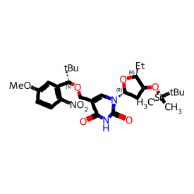 CC[C@H]1O[C@@H](n2cc(CO[C@H](c3cc(OC)ccc3[N+](=O)[O-])C(C)(C)C)c(=O)[nH]c2=O)CC1O[Si](C)(C)C(C)(C)C